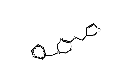 C1=CC(CSC2=NCN(Cc3cccnc3)CN2)CO1